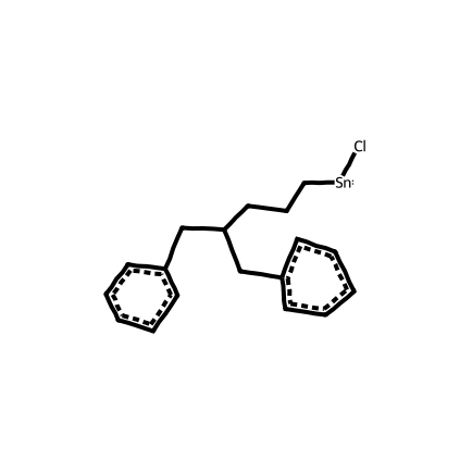 [Cl][Sn][CH2]CCC(Cc1ccccc1)Cc1ccccc1